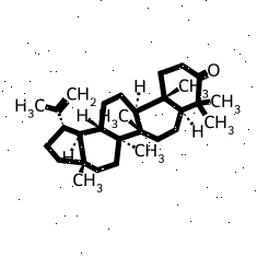 C=C(C)[C@H]1CC[C@@]2(C)CC[C@@]3(C)[C@@H](CC[C@H]4[C@]5(C)CCC(=O)C(C)(C)[C@H]5CC[C@@]43C)[C@H]12